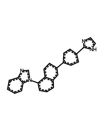 c1cc(-n2cnc3ccccc32)c2ccc(-c3ccc(-c4ncc[nH]4)cc3)cc2c1